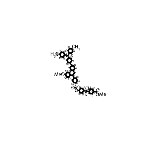 COC(=O)c1ccc(C(C)(C)c2ccc(OC(=O)Oc3ccc(C(=Cc4ccc(-c5ccc(N(c6ccc(C)cc6)c6ccc(C)cc6)cc5)cc4)c4ccc(OC)cc4)cc3)cc2)cc1